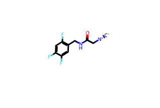 [C-]#[N+]CC(=O)NCc1cc(F)c(F)cc1F